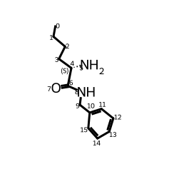 CCCC[C@H](N)C(=O)NCc1ccccc1